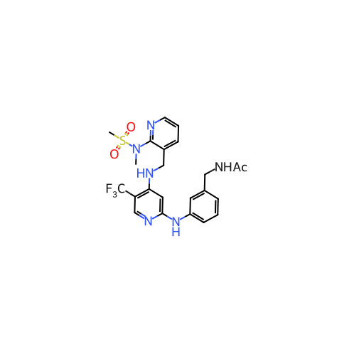 CC(=O)NCc1cccc(Nc2cc(NCc3cccnc3N(C)S(C)(=O)=O)c(C(F)(F)F)cn2)c1